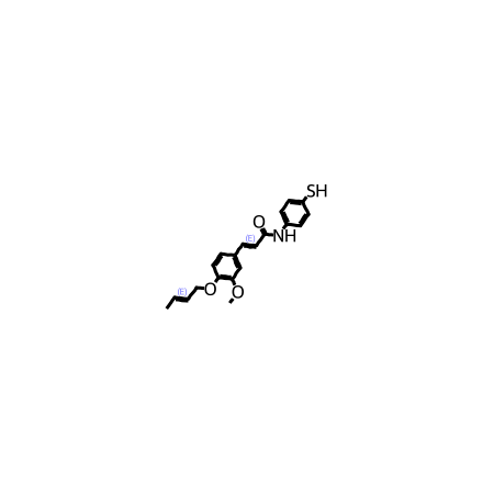 C/C=C/COc1ccc(/C=C/C(=O)Nc2ccc(S)cc2)cc1OC